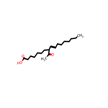 CCCCCCCC=CC(CCCCCCC(=O)O)C(C)=O